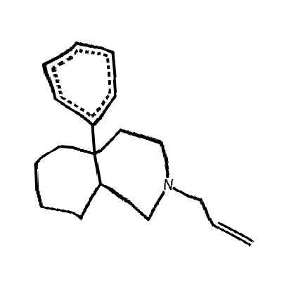 C=CCN1CCC2(c3ccccc3)CCCCC2C1